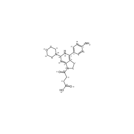 Nc1ncc(C2=C3CCN(C(=O)CCC(=O)O)C3=NC(N3CCOCC3)N2)cn1